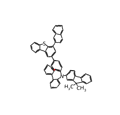 CC1(C)c2ccccc2-c2ccc(N(c3ccc(-c4cc(-c5ccc6ccccc6c5)c5sc6ccccc6c5c4)cc3)c3ccccc3-c3ccccc3)cc21